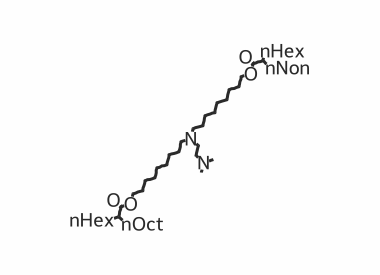 CCCCCCCCCC(CCCCCC)C(=O)OCCCCCCCCCN(CCCCCCCCCOC(=O)C(CCCCCC)CCCCCCCC)CCN(C)C